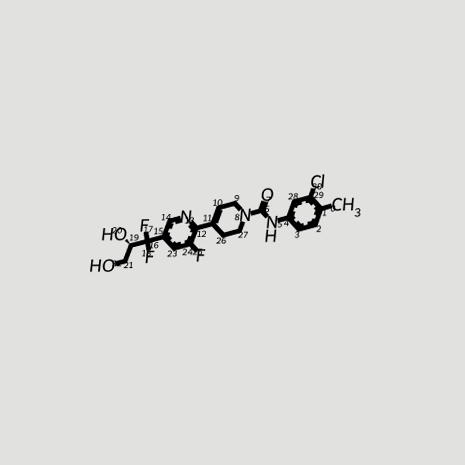 Cc1ccc(NC(=O)N2CC=C(c3ncc(C(F)(F)[C@@H](O)CO)cc3F)CC2)cc1Cl